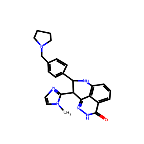 Cn1ccnc1C1c2n[nH]c(=O)c3cccc(c23)NC1c1ccc(CN2CCCC2)cc1